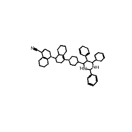 N#CC1CCC(C2CCC(C3CCC(C4NC(c5ccccc5)NC(C5CC=CCC5)C4C4=CCCC=C4)CC3)=C3CCCCC32)C2=C1CCCC2